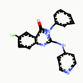 O=c1c2cc(F)ccc2nc(Nc2ccncc2)n1-c1ccccc1